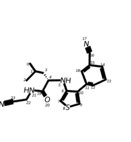 CC(C)C[C@H](Nc1cscc1-c1cccc(C#N)c1)C(=O)NCC#N